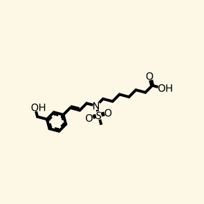 CS(=O)(=O)N(CC=Cc1cccc(CO)c1)CCCCCCC(=O)O